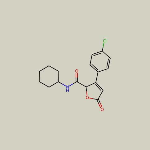 O=C1C=C(c2ccc(Cl)cc2)C(C(=O)NC2CCCCC2)O1